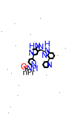 CCCC(=O)Nc1ccc(-c2cc3c(-c4nc5c(-c6ccccn6)cccc5[nH]4)n[nH]c3cn2)cn1